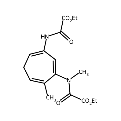 CCOC(=O)C(=O)NC1=CCC=C(C)C(N(C)C(=O)C(=O)OCC)=C1